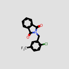 O=C1c2ccccc2C(=O)N1Cc1cc(C(F)(F)F)ccc1Cl